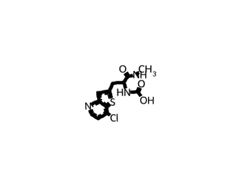 CNC(=O)C(Cc1cc2nccc(Cl)c2s1)NC(=O)O